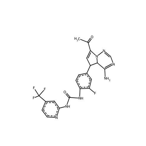 CC(=O)C1=CC(c2ccc(NC(=O)Nc3cc(C(F)(F)F)ccn3)c(F)c2)C2C(N)=NC=NN12